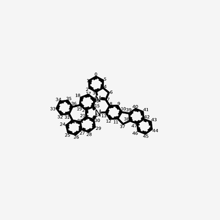 c1ccc2c(c1)CC(c1cc3c(cc1-n1c4cccc5c4c4c6c(cccc6ccc41)-c1ccccc1-5)Cc1c-3ccc3ccccc13)=N2